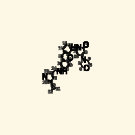 O=c1cc(N2CCOCC2)cc(-c2cccc3c2Oc2ccc(NCc4cncc(C5CC5)c4)cc2C3)[nH]1